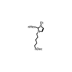 CCCCCCCCCCCCCCCN1C=CN(CC)C1CCCCCC